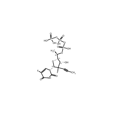 CC#CC1(F)[C@@H](O)[C@@H]([C@@H](C)OP(=O)(O)OP(=O)(O)OP(=O)(O)O)O[C@H]1n1cc(F)c(=O)[nH]c1=O